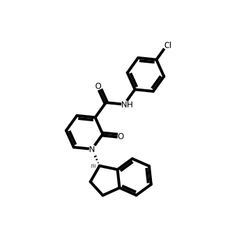 O=C(Nc1ccc(Cl)cc1)c1cccn([C@H]2CCc3ccccc32)c1=O